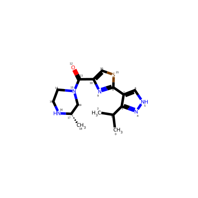 CC(C)c1n[nH]cc1-c1nc(C(=O)N2CCN[C@@H](C)C2)cs1